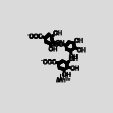 O=C([O-])c1cc(O)c(O)c(O)c1.O=C([O-])c1cc(O)c(O)c(O)c1.O=C([O-])c1cc(O)c(O)c(O)c1.[Li+].[Mn+2]